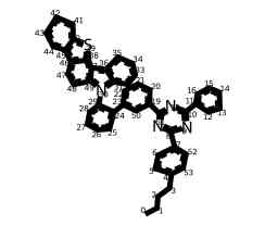 CCCCc1ccc(-c2nc(-c3ccccc3)nc(-c3cccc(-c4ccccc4-n4c5ccccc5c5c6sc7ccccc7c6ccc54)c3)n2)cc1